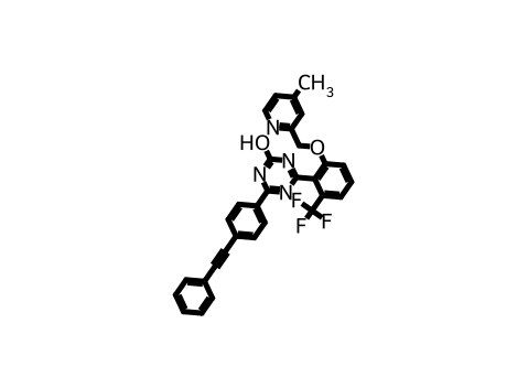 Cc1ccnc(COc2cccc(C(F)(F)F)c2-c2nc(O)nc(-c3ccc(C#Cc4ccccc4)cc3)n2)c1